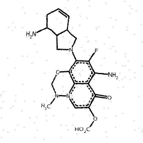 CN1COc2c(N3CC4C=CCC(N)C4C3)c(F)c(N)c3c(=O)c(OC(=O)O)cn1c23